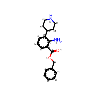 Nc1c(C(=O)OCc2ccccc2)cccc1C1CCNCC1